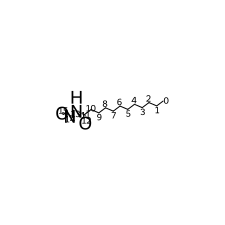 CCCCCCCCCCCC(=O)NN=O